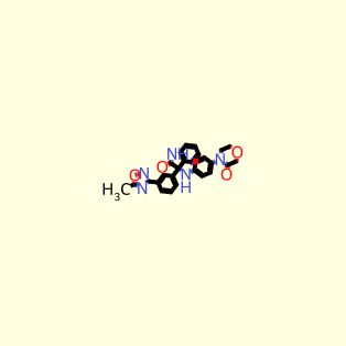 Cc1nc(-c2cccc(C(Nc3ccc(N4CCOCC4=O)cc3)(C(N)=O)c3ccccc3)c2)no1